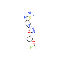 Nc1nc2c(s1)C1CCC(C2)N1c1nnc(-c2cccc(OC(F)F)c2)o1